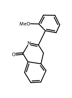 COc1ccccc1C1=NC(=O)c2ccccc2C1